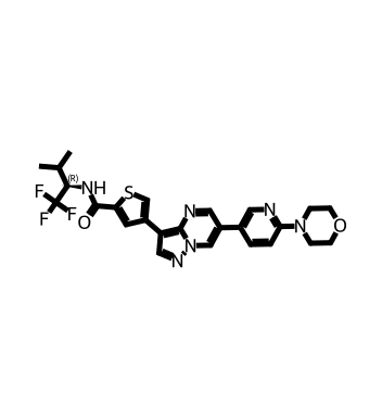 CC(C)[C@@H](NC(=O)c1cc(-c2cnn3cc(-c4ccc(N5CCOCC5)nc4)cnc23)cs1)C(F)(F)F